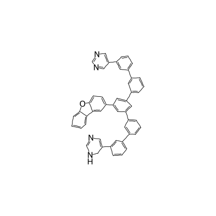 C1=NC=C(c2cccc(-c3cccc(-c4cc(-c5cccc(-c6cccc(-c7cncnc7)c6)c5)cc(-c5ccc6oc7ccccc7c6c5)c4)c3)c2)CN1